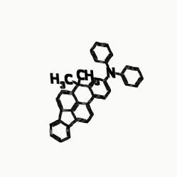 CC1(C)c2cc(N(c3ccccc3)c3ccccc3)ccc2-c2ccc3c4c(ccc1c24)-c1ccccc1-3